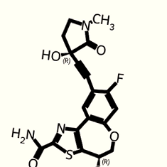 CN1CC[C@@](O)(C#Cc2cc3c(cc2F)OC[C@@H](O)c2sc(C(N)=O)nc2-3)C1=O